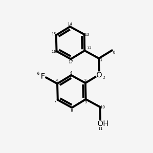 CC(Oc1cc(F)ccc1CO)c1ccccc1